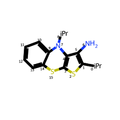 CC(C)c1sc2c(c1N)N(C(C)C)c1ccccc1S2